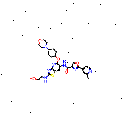 Cc1cc(-c2nc(C(=O)Nc3cc4sc(NCCO)nc4nc3OC3CCC(N4CCOCC4)CC3)co2)ccn1